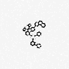 c1ccc(-c2nc(-c3cccc4c3-c3ccc(-c5ccc6ccc7ccccc7c6c5)cc3C43c4ccccc4Oc4ccccc43)nc(-c3cccc4c3oc3ccccc34)n2)cc1